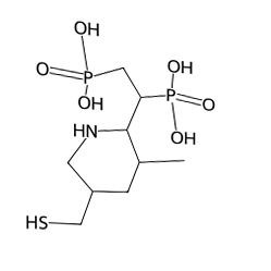 CC1CC(CS)CNC1C(CP(=O)(O)O)P(=O)(O)O